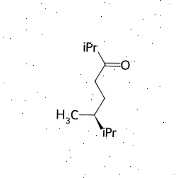 CC(C)C(=O)CC[C@H](C)C(C)C